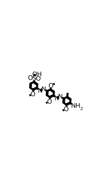 COc1cc(N=Nc2cc(OC)c(N=Nc3cc(S(=O)(=O)O)ccc3OC)cc2OC)c(C)cc1N